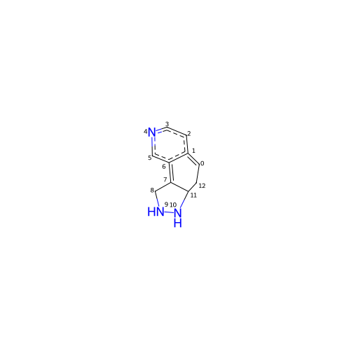 C1=c2ccncc2=C2CNNC2C1